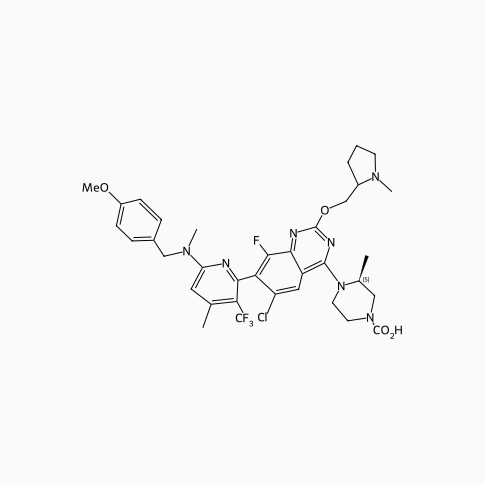 COc1ccc(CN(C)c2cc(C)c(C(F)(F)F)c(-c3c(Cl)cc4c(N5CCN(C(=O)O)C[C@@H]5C)nc(OCC5CCCN5C)nc4c3F)n2)cc1